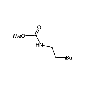 CCC(C)CCNC(=O)OC